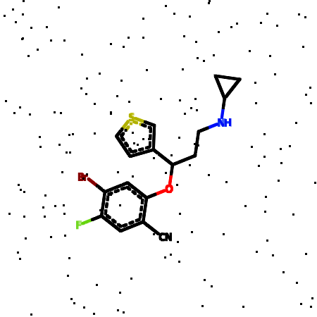 N#Cc1cc(F)c(Br)cc1OC(CCNC1CC1)c1ccsc1